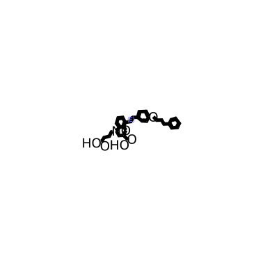 O=C(O)CCCN1CC(C(=O)O)Oc2c(/C=C/c3ccc(OCCCc4ccccc4)cc3)cccc21